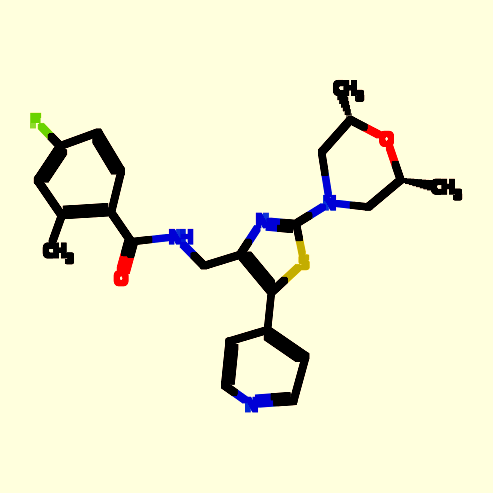 Cc1cc(F)ccc1C(=O)NCc1nc(N2C[C@@H](C)O[C@@H](C)C2)sc1-c1ccncc1